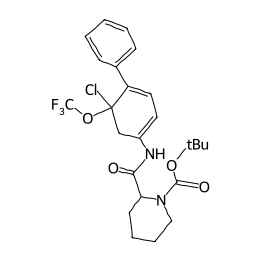 CC(C)(C)OC(=O)N1CCCCC1C(=O)NC1=CC=C(c2ccccc2)C(Cl)(OC(F)(F)F)C1